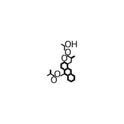 C=C(C)C(=O)OCc1c2ccccc2cc2c(CC(=C)C(=O)OCC(C)O)cccc12